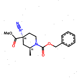 COC(=O)[C@@]1([N+]#N)CCN(C(=O)OCc2ccccc2)[C@@H](C)C1